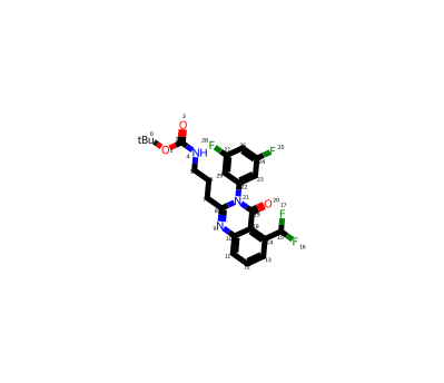 CC(C)(C)OC(=O)NCCCc1nc2cccc(C(F)F)c2c(=O)n1-c1cc(F)cc(F)c1